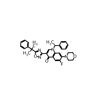 C[C@@H](c1ccccc1)n1cc(-c2noc(C(C)(C)c3ccccc3)n2)c(=O)c2cc(F)c(N3CCOCC3)cc21